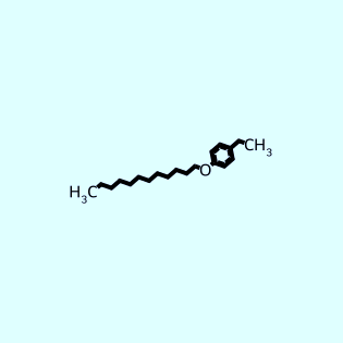 CCCCCCCCCCCCOc1ccc(CC)cc1